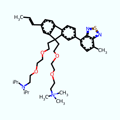 C/C=C/c1ccc2c(c1)C(CCOCCOCCN(C(C)C)C(C)C)(CCOCCOCC[N+](C)(C)C)c1cc(-c3ccc(C)c4nsnc34)ccc1-2